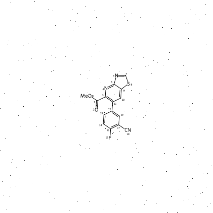 COC(=O)c1nc2ncsc2cc1-c1ccc(F)c(C#N)c1